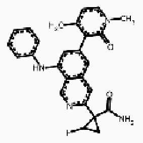 Cc1ccn(C)c(=O)c1-c1cc(Nc2ccccc2)c2cnc(C3(C(N)=O)CC3F)cc2c1